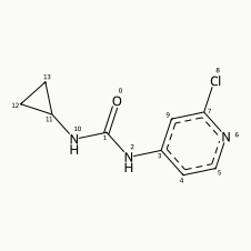 O=C(Nc1ccnc(Cl)c1)NC1CC1